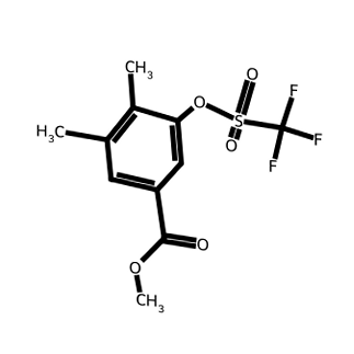 COC(=O)c1cc(C)c(C)c(OS(=O)(=O)C(F)(F)F)c1